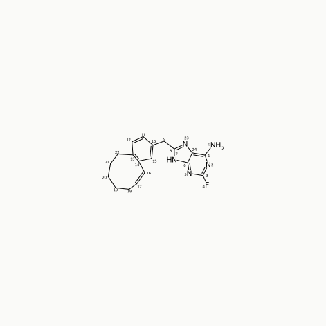 Nc1nc(F)nc2[nH]c(Cc3ccc4c(c3)/C=C\CCCCC4)nc12